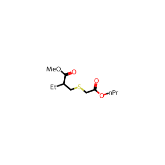 CCCOC(=O)CSCC(CC)C(=O)OC